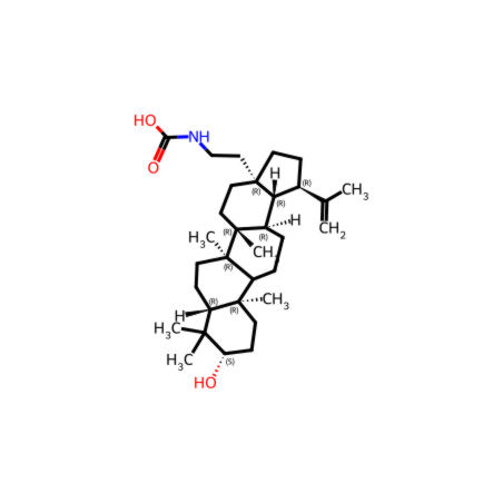 C=C(C)[C@@H]1CC[C@]2(CCNC(=O)O)CC[C@]3(C)[C@H](CCC4[C@@]5(C)CC[C@H](O)C(C)(C)[C@@H]5CC[C@]43C)[C@@H]12